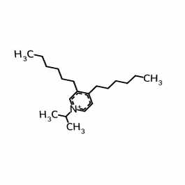 CCCCCCc1cc[n+](C(C)C)cc1CCCCCC